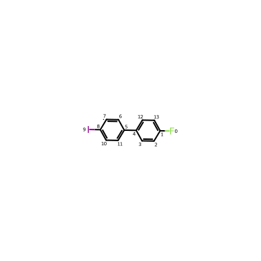 Fc1ccc(-c2c[c]c(I)cc2)cc1